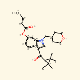 CC1(C)C(C(=O)c2cn(CC3CCOCC3)c3cc(OC(=O)/C=C/C(=O)O)ccc23)C1(C)C